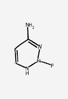 NC1=NN(F)N[C]=C1